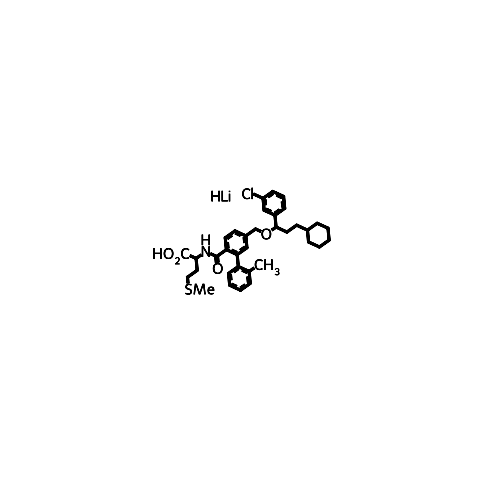 CSCCC(NC(=O)c1ccc(COC(CCC2CCCCC2)c2cccc(Cl)c2)cc1-c1ccccc1C)C(=O)O.[LiH]